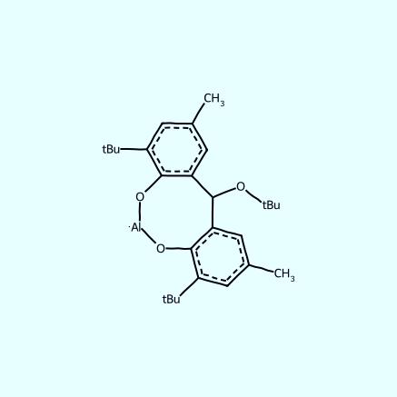 Cc1cc2c(c(C(C)(C)C)c1)[O][Al][O]c1c(cc(C)cc1C(C)(C)C)C2OC(C)(C)C